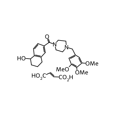 COc1cc(CN2CCN(C(=O)c3ccc4c(c3)CCCC4O)CC2)cc(OC)c1OC.O=C(O)/C=C/C(=O)O